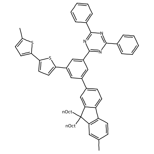 CCCCCCCCC1(CCCCCCCC)c2cc(C)ccc2-c2ccc(-c3cc(-c4nc(-c5ccccc5)nc(-c5ccccc5)n4)cc(-c4ccc(-c5ccc(C)s5)s4)c3)cc21